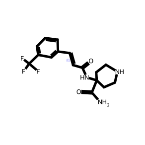 NC(=O)C1(NC(=O)/C=C/c2cccc(C(F)(F)F)c2)CCNCC1